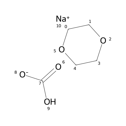 C1COCCO1.O=C([O-])O.[Na+]